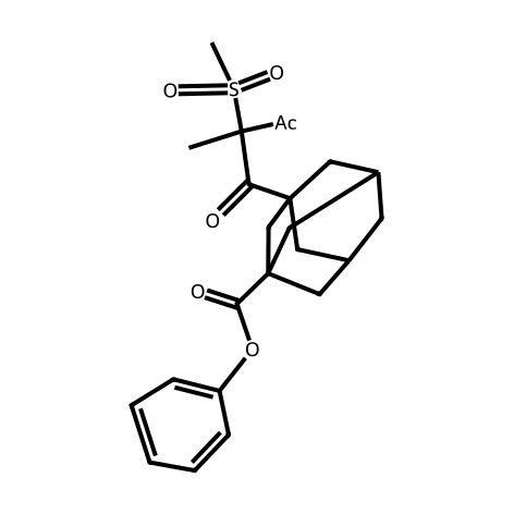 CC(=O)C(C)(C(=O)C12CC3CC(CC(C(=O)Oc4ccccc4)(C3)C1)C2)S(C)(=O)=O